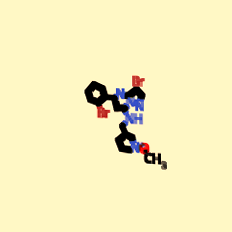 CO[n+]1cccc(CNc2cc(-c3ccccc3Br)nc3c(Br)cnn23)c1